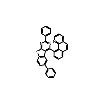 c1ccc(-c2ccc3sc4nc(-c5ccccc5)nc(-c5cccc6ccc7cccnc7c56)c4c3c2)cc1